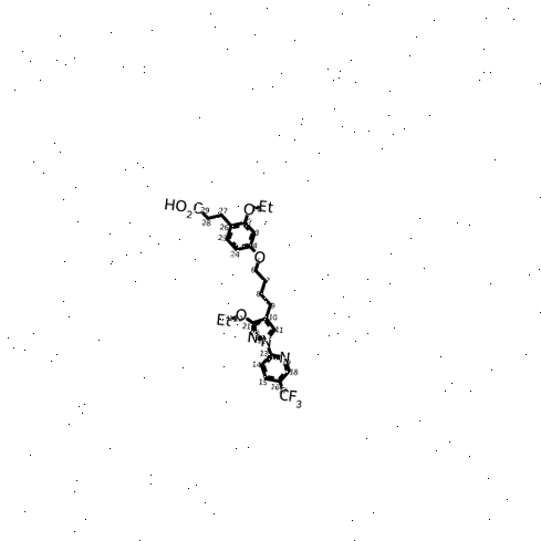 CCOc1cc(OCCCCc2cn(-c3ccc(C(F)(F)F)cn3)nc2OCC)ccc1CCC(=O)O